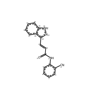 N#Cc1ccccc1NC(=O)C=Cc1n[nH]c2ccccc12